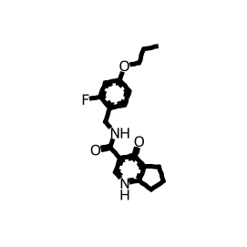 CCCOc1ccc(CNC(=O)c2c[nH]c3c(c2=O)CCC3)c(F)c1